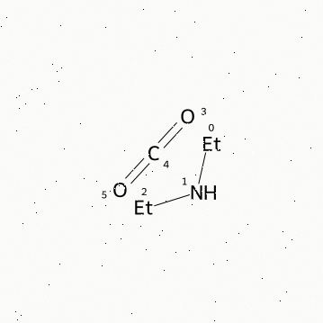 CCNCC.O=C=O